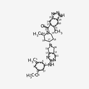 COc1cc(C)cc(Nc2ncc3c(n2)CN([C@H]2CCN(C(=O)c4cc5nn[nH]c5cc4C)[C@H](C)C2)C3)c1